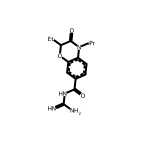 CCC1Oc2cc(C(=O)NC(=N)N)ccc2N(C(C)C)C1=O